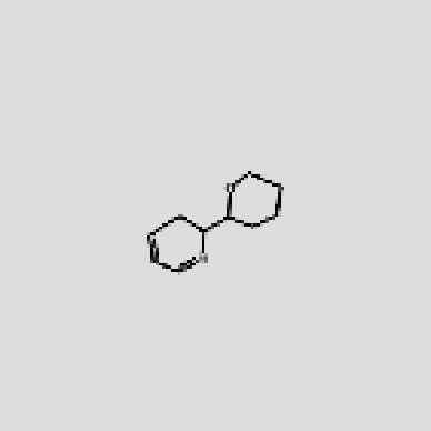 C1=CCC(C2CCCC[N]2)N=C1